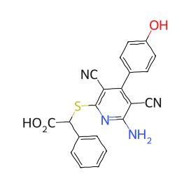 N#Cc1c(N)nc(SC(C(=O)O)c2ccccc2)c(C#N)c1-c1ccc(O)cc1